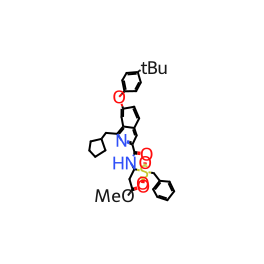 COC(=O)CC(NC(=O)c1cc2ccc(Oc3ccc(C(C)(C)C)cc3)cc2c(CC2CCCC2)n1)S(=O)(=O)Cc1ccccc1